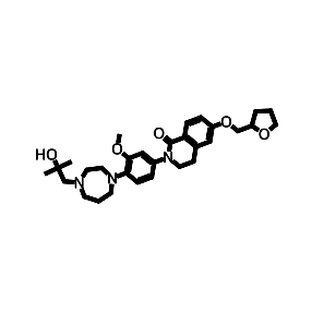 COc1cc(N2CCc3cc(OCC4CCCO4)ccc3C2=O)ccc1N1CCCN(CC(C)(C)O)CC1